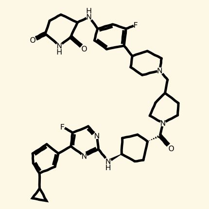 O=C1CCC(Nc2ccc(C3CCN(CC4CCN(C(=O)[C@H]5CC[C@H](Nc6ncc(F)c(-c7cccc(C8CC8)c7)n6)CC5)CC4)CC3)c(F)c2)C(=O)N1